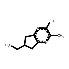 CCC1Cc2nc(C)c(C)nc2C1